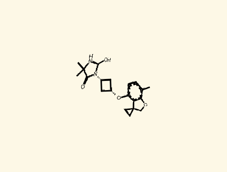 Cc1ccc(O[C@H]2C[C@@H](N3C(=O)C(C)(C)NC3O)C2)c2c1OCC21CC1